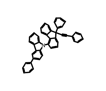 C(#CC1(c2ccccc2)c2ccccc2-c2c(-n3c4ccccc4c4cc(-c5ccccc5)ccc43)cccc21)c1ccccc1